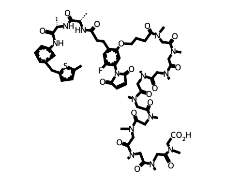 Cc1ccc(Cc2cccc(NC(=O)[C@H](C)NC(=O)[C@H](C)NC(=O)CCc3cc(F)c(N4C(=O)C=CC4=O)cc3OCCCC(=O)N(C)CC(=O)N(C)CC(=O)N(C)CC(=O)N(C)CC(=O)N(C)CC(=O)N(C)CC(=O)N(C)CC(=O)N(C)CC(=O)N(C)CC(=O)N(C)CC(=O)O)c2)s1